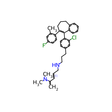 C=C(/C=C/CNCCCc1ccc(C2=C(c3ccc(F)cc3C)CCCc3ccccc32)c(Cl)c1)N(C)C